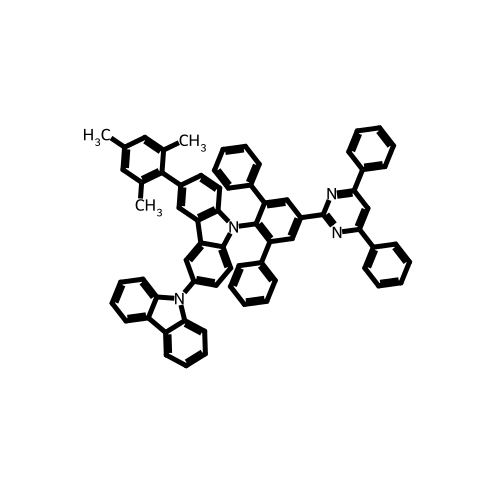 Cc1cc(C)c(-c2ccc3c(c2)c2cc(-n4c5ccccc5c5ccccc54)ccc2n3-c2c(-c3ccccc3)cc(-c3nc(-c4ccccc4)cc(-c4ccccc4)n3)cc2-c2ccccc2)c(C)c1